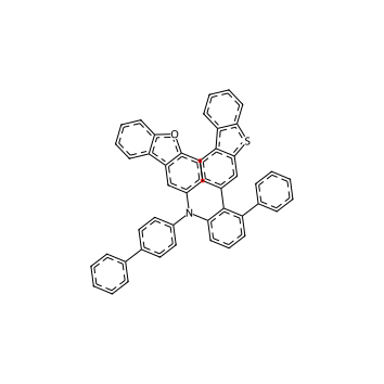 c1ccc(-c2ccc(N(c3ccc4oc5ccccc5c4c3)c3cccc(-c4ccccc4)c3-c3ccc4c(c3)sc3ccccc34)cc2)cc1